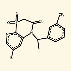 CC(c1cccc(C(F)(F)F)c1)N1C(=O)CS(=O)(=O)c2ncc(Br)cc21